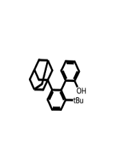 CC(C)(C)c1cccc(C23CC4CC(CC(C4)C2)C3)c1-c1ccccc1O